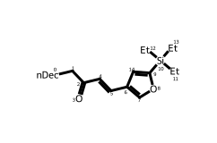 CCCCCCCCCCCC(=O)/C=C/c1coc([Si](CC)(CC)CC)c1